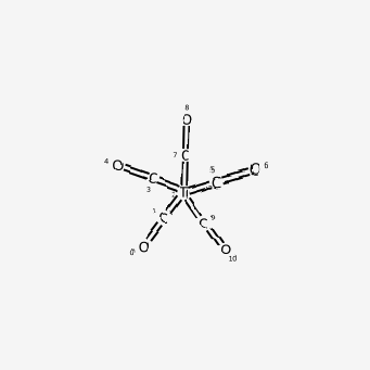 O=[C]=[Ti](=[C]=O)(=[C]=O)(=[C]=O)=[C]=O